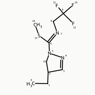 CCC1C=NN(/C(=N/CC(F)(F)F)SC)C1